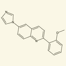 COc1ccccc1-c1ccc2cc(-n3ccnc3)ccc2n1